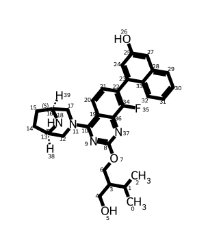 CC(C)C(CO)COc1nc(N2C[C@H]3CC[C@@H](C2)N3)c2ccc(-c3cc(O)cc4ccccc34)c(F)c2n1